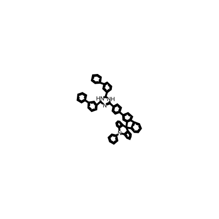 c1ccc(-c2cccc(C3N=C(c4ccc(-c5ccc6c(c5)C5(c7ccccc7-6)c6ccccc6N(c6ccccc6)c6ccccc65)cc4)NC(c4cccc(-c5ccccc5)c4)N3)c2)cc1